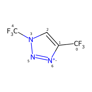 FC(F)(F)C1=CN(C(F)(F)F)N=[N+]1